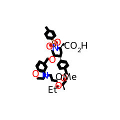 CCO[C@H](C)COCc1ccc([C@H]2C[C@H](CC(=O)O)N(S(=O)(=O)c3ccc(C)cc3)C[C@@H]2OCc2ccc3c(c2)N(CCCOC)CCO3)cc1